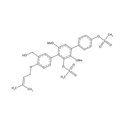 COc1cc(-c2ccc(OS(C)(=O)=O)cc2)c(OC)c(OS(C)(=O)=O)c1-c1ccc(OCC=C(C)C)c(CO)c1